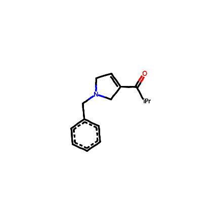 CC(C)C(=O)C1=CCN(Cc2ccccc2)C1